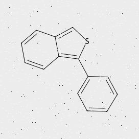 [c]1ccccc1-c1scc2ccccc12